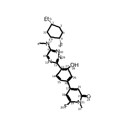 CC[C@@H]1CC[C@H](F)[C@H](N(C)c2cnc(-c3ccc(-c4cc(F)n(C)c(=O)c4)cc3O)nn2)C1